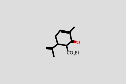 C=C(C)C1CC=C(C)C(=O)C1C(=O)OCC